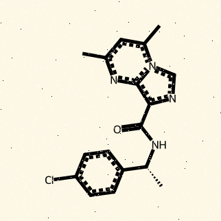 Cc1cc(C)n2cnc(C(=O)N[C@H](C)c3ccc(Cl)cc3)c2n1